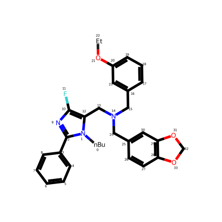 CCCCn1c(-c2ccccc2)nc(F)c1CN(Cc1cccc(OCC)c1)Cc1ccc2c(c1)OCO2